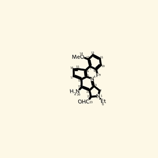 CCN1Cc2nc3c(-c4c(F)cccc4OC)cccc3c(N)c2C1C=O